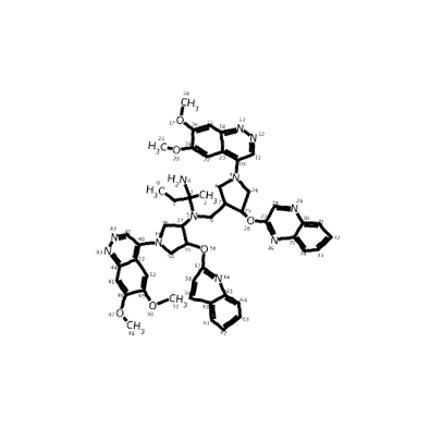 CCC(C)(N)N(CC1CN(c2cnnc3cc(OC)c(OC)cc23)CC1Oc1cnc2ccccc2n1)C1CN(c2cnnc3cc(OC)c(OC)cc23)CC1Oc1ccc2ccccc2n1